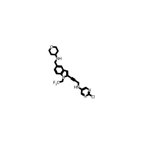 FC(F)(F)Cn1c(C#CCNc2cnc(Cl)nc2)cc2cc(CNC3CCOCC3)ccc21